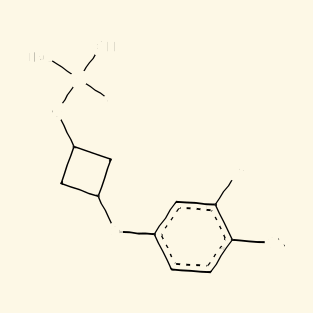 CC(C)(C)[Si](C)(C)OC1CC(Oc2ccc(C#N)c(Br)c2)C1